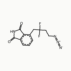 [N-]=[N+]=NCCC(F)(F)Cc1cccc2c1C(=O)NC2=O